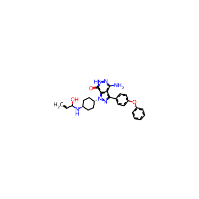 C=CC(O)N[C@H]1CC[C@H](n2nc(-c3ccc(Oc4ccccc4)cc3)c3c(N)n[nH]c(=O)c32)CC1